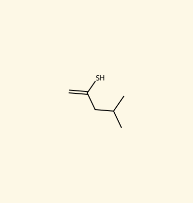 C=C(S)CC(C)C